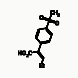 CCC=C(C(=O)O)c1ccc(S(C)(=O)=O)cc1